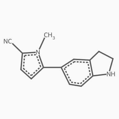 Cn1c(C#N)ccc1-c1ccc2c(c1)CCN2